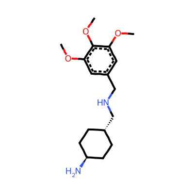 COc1cc(CNC[C@H]2CC[C@H](N)CC2)cc(OC)c1OC